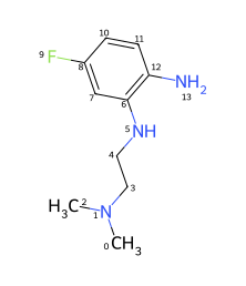 CN(C)CCNc1cc(F)ccc1N